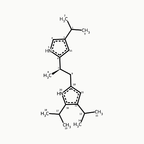 CC(C)c1c[nH]c([C@H](C)Cc2cc(C(C)C)c(C(C)C)[nH]2)c1